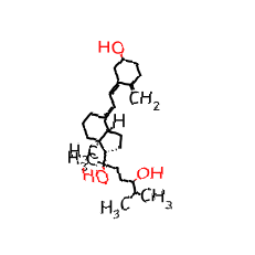 C=C1CC[C@H](O)C/C1=C/C=C1\CCC[C@@]2(C)[C@H]1CC[C@@H]2[C@@](C)(O)CCC(O)C(C)C